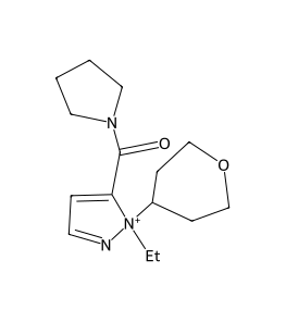 CC[N+]1(C2CCOCC2)N=CC=C1C(=O)N1CCCC1